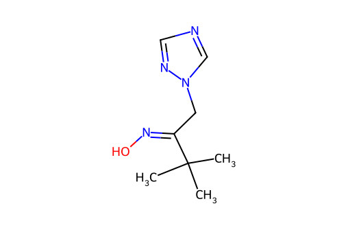 CC(C)(C)C(Cn1cncn1)=NO